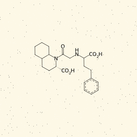 O=C(O)C(CCc1ccccc1)NCC(=O)N1C2CCCCC2CC[C@H]1C(=O)O